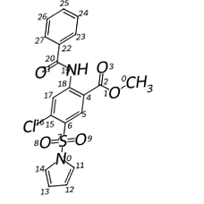 COC(=O)c1cc(S(=O)(=O)n2cccc2)c(Cl)cc1NC(=O)c1ccccc1